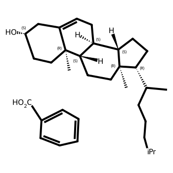 CC(C)CCCC(C)[C@H]1CC[C@H]2[C@@H]3CC=C4C[C@@H](O)CC[C@]4(C)[C@H]3CC[C@]12C.O=C(O)c1ccccc1